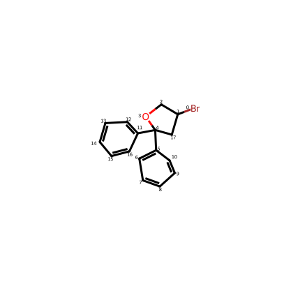 BrC1COC(c2ccccc2)(c2ccccc2)C1